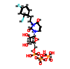 O=c1ccn([C@@H]2O[C@H](COP(=O)(O)OP(=O)(O)OP(=O)(O)O)[C@H](O)C2O)c(=O)n1CCc1ccc(F)cc1F